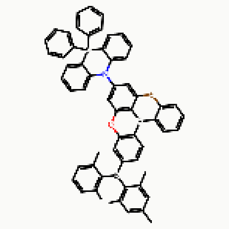 Cc1cc(C)c(B(c2ccc3c(c2)Oc2cc(N4c5ccccc5[Si](c5ccccc5)(c5ccccc5)c5ccccc54)cc4c2B3c2ccccc2S4)c2c(C)cccc2C)c(C)c1